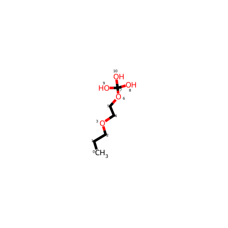 CCCOCCOC(O)(O)O